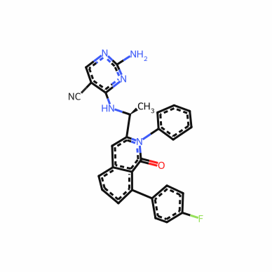 C[C@H](Nc1nc(N)ncc1C#N)c1cc2cccc(-c3ccc(F)cc3)c2c(=O)n1-c1ccccc1